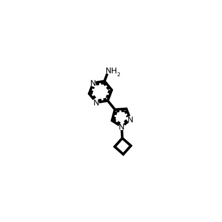 Nc1cc(-c2cnn(C3CCC3)c2)ncn1